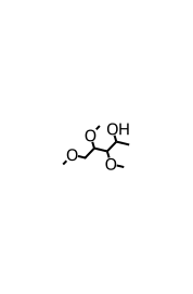 COCC(OC)C(OC)C(C)O